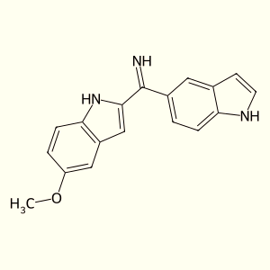 COc1ccc2[nH]c(C(=N)c3ccc4[nH]ccc4c3)cc2c1